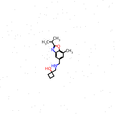 Cc1cc(CNCC2(O)CCC2)cc2nc(C(C)C)oc12